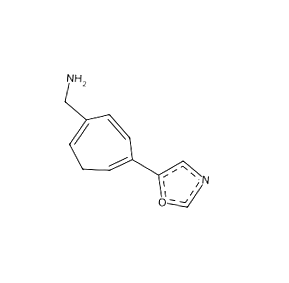 NCC1=CCC=C(c2cnco2)C=C1